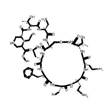 CCC(C)OC(=O)C1CNC[C@@H](C(=O)N[C@H](C(=O)N[C@@H](CN)C(=O)N[C@H]2CCNC(=O)[C@H]([C@@H](C)O)NC(=O)[C@H](CCN)NC(=O)[C@H](CCN)NC(=O)[C@H](CC(C)C)NC(=O)[C@@H](Cc3ccccc3)NC(=O)[C@H](CCN)NC2=O)[C@H](C)O)N1CC(C)C